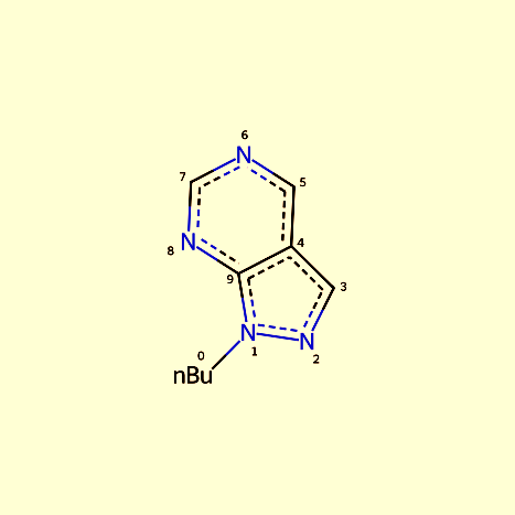 CCCCn1ncc2cncnc21